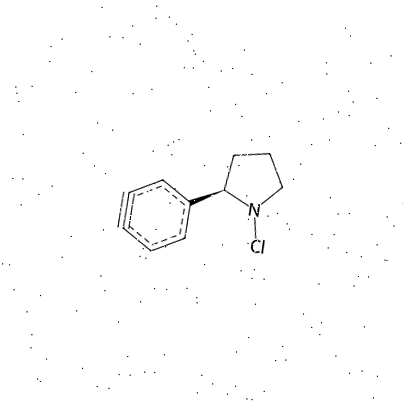 ClN1CCC[C@@H]1c1cc#ccc1